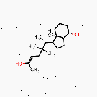 C/C(O)=C\CC(C)(C)[C@H](C)C1CCC2[C@@H](O)CCC[C@]12C